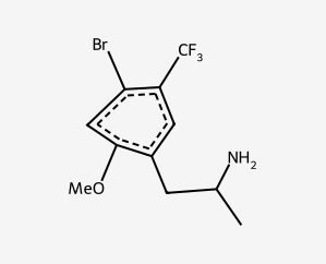 COc1cc(Br)c(C(F)(F)F)cc1CC(C)N